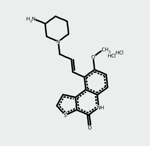 COc1ccc2[nH]c(=O)c3sccc3c2c1/C=C/CN1CCCC(N)C1.Cl.Cl